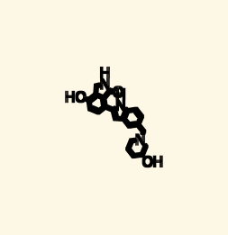 O=C1NCc2c(O)ccc(-c3cc4cc(CN5CCCC(O)C5)ccc4[nH]3)c21